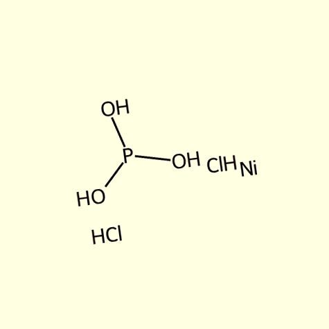 Cl.Cl.OP(O)O.[Ni]